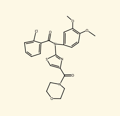 COc1ccc(N(C(=O)c2ccccc2Cl)c2nc(C(=O)N3CCOCC3)cs2)cc1OC